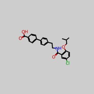 CC(C)COc1ccc(Cl)cc1C(=O)NCCc1ccc(-c2ccc(C(=O)O)cc2)cc1